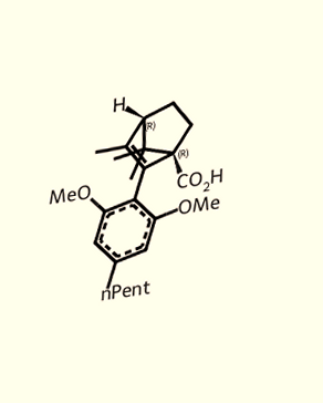 CCCCCc1cc(OC)c(C2=C(C)[C@@H]3CC[C@@]2(C(=O)O)C3(C)C)c(OC)c1